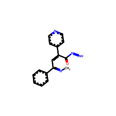 C/N=C(\C=C(/C(=O)N=N)c1ccncc1)c1ccccc1